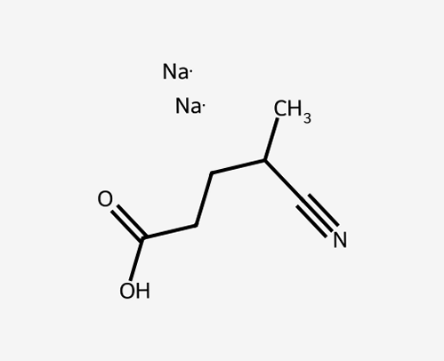 CC(C#N)CCC(=O)O.[Na].[Na]